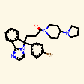 O=C(CCC1(c2ccc(Br)cc2)c2ccccc2-c2nccn21)N1CCC(N2CCCC2)CC1